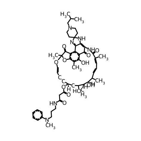 C/C1=C/C=C/C(C)[C@H](O)[C@@H](C)C(O)C[C@H](OC(=O)CC(=O)NCCCN(C)c2ccccc2)CC/C=C/OC2(C)Oc3c(C)c(O)c4c(c3C2=O)C2=NC3(CCN(CC(C)C)CC3)NC2=C(NC1=O)C4=O